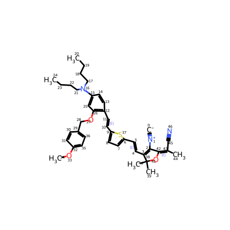 [C-]#[N+]C1=C(/C=C/c2ccc(/C=C/c3ccc(N(CCCC)CCCC)cc3OCc3ccc(OC)cc3)s2)C(C)(C)O/C1=C(\C)C#N